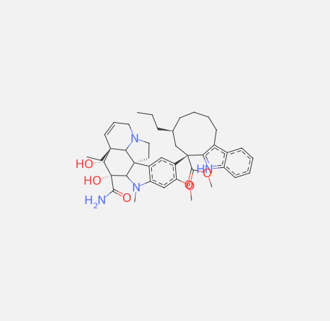 CCC[C@H]1CCCCc2c([nH]c3ccccc23)[C@@](C(=O)OC)(c2cc3c(cc2OC)N(C)C2[C@]34CCN3CC=C[C@](CC)(C34)[C@@H](O)[C@]2(O)C(N)=O)C1